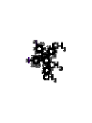 Cc1ccc(C2(C)CC3(c4ccc(C)cc4)CC(c4ccc(I)cc4)CC(c4ccc(I)cc4)(C2)C3)cc1